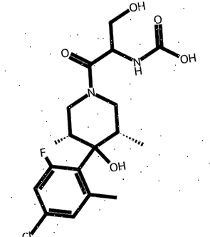 Cc1cc(Cl)cc(F)c1C1(O)[C@H](C)CN(C(=O)C(CO)NC(=O)O)C[C@@H]1C